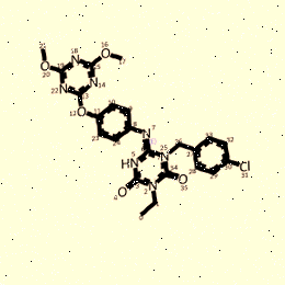 CCn1c(=O)[nH]/c(=N\c2ccc(Oc3nc(OC)nc(OC)n3)cc2)n(Cc2ccc(Cl)cc2)c1=O